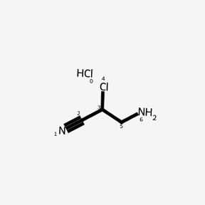 Cl.N#CC(Cl)CN